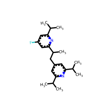 CC(C)c1cc(CC(C)c2cc(F)cc(C(C)C)n2)cc(C(C)C)n1